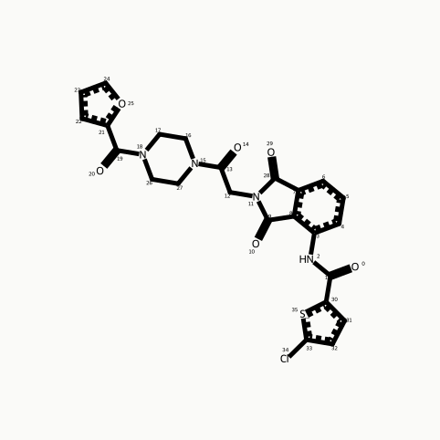 O=C(Nc1cccc2c1C(=O)N(CC(=O)N1CCN(C(=O)c3ccco3)CC1)C2=O)c1ccc(Cl)s1